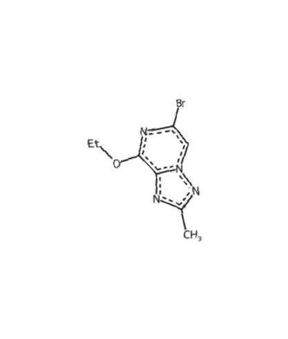 CCOc1nc(Br)cn2nc(C)nc12